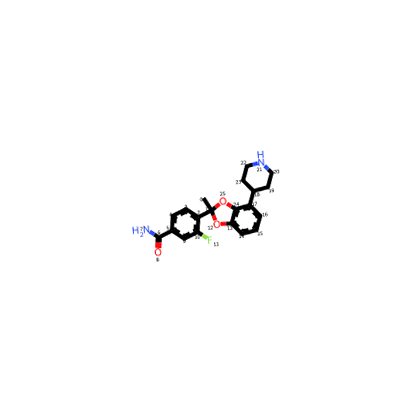 CC1(c2ccc(C(N)=O)cc2F)Oc2cccc(C3CCNCC3)c2O1